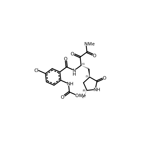 CNC(=O)C(=O)[C@H](C[C@@H]1C[C@@H](C)NC1=O)NC(=O)c1cc(Cl)ccc1NC(=O)OC